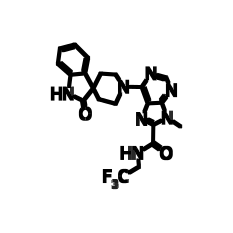 Cn1c(C(=O)NCC(F)(F)F)nc2c(N3CCC4(CC3)C(=O)Nc3ccccc34)ncnc21